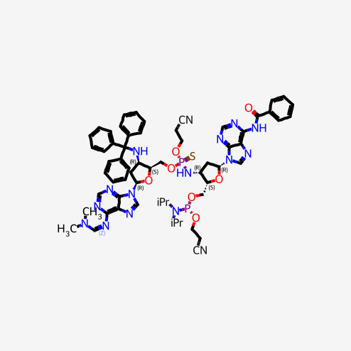 CC(C)N(C(C)C)P(OCCC#N)OC[C@H]1O[C@@H](n2cnc3c(NC(=O)c4ccccc4)ncnc32)C[C@H]1NP(=S)(OCCC#N)OC[C@H]1O[C@@H](n2cnc3c(/N=C\N(C)C)ncnc32)C[C@H]1NC(c1ccccc1)(c1ccccc1)c1ccccc1